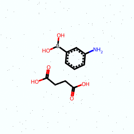 Nc1cccc(B(O)O)c1.O=C(O)CCC(=O)O